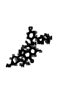 [2H]C(C)(Nc1ccc(Cl)nc1-c1nnn(C([2H])([2H])[2H])n1)c1cc(C)cc2c(=O)n(C([2H])([2H])[2H])c3c(C4CCN(C(C)=O)CC4)ncn3c12